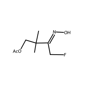 CC(=O)OCC(C)(C)C(CF)=NO